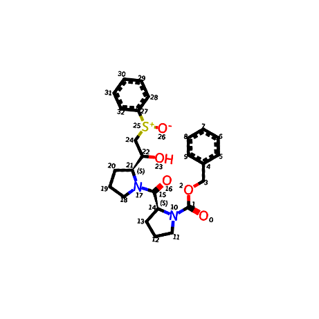 O=C(OCc1ccccc1)N1CCC[C@H]1C(=O)N1CCC[C@H]1C(O)C[S+]([O-])c1ccccc1